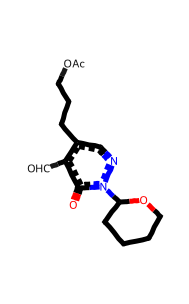 CC(=O)OCCCc1cnn(C2CCCCO2)c(=O)c1C=O